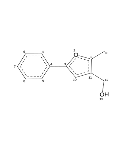 Cc1oc(-c2ccccc2)cc1CO